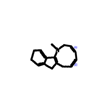 CN1C/C=C\C=C/CC2=C1C1=CCCC=C1C2